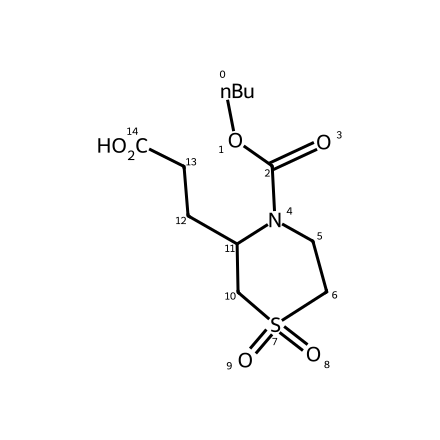 CCCCOC(=O)N1CCS(=O)(=O)CC1CCC(=O)O